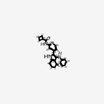 O=C1CCCc2[nH]c(-c3ccnc(NC(=O)C4CCC4)c3)c(Nc3ccccc3)c21